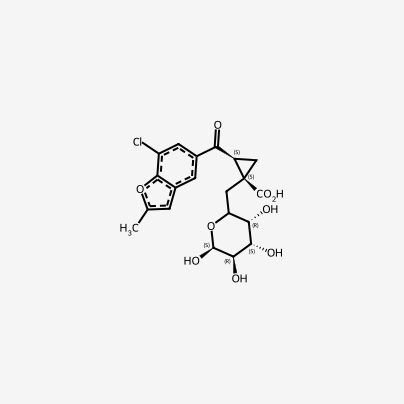 Cc1cc2cc(C(=O)[C@H]3C[C@@]3(CC3O[C@H](O)[C@H](O)[C@@H](O)[C@H]3O)C(=O)O)cc(Cl)c2o1